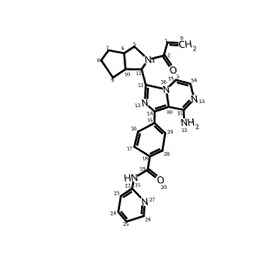 C=CC(=O)N1CC2CCCC2C1c1nc(-c2ccc(C(=O)Nc3ccccn3)cc2)c2c(N)nccn12